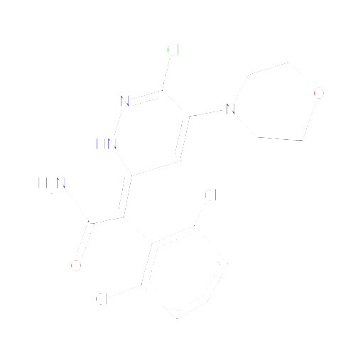 NC(=O)/C(=C1/C=C(N2CCOCC2)C(Cl)=NN1)c1c(Cl)cccc1Cl